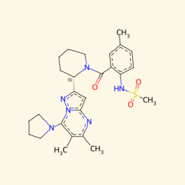 Cc1ccc(NS(C)(=O)=O)c(C(=O)N2CCCC[C@H]2c2cc3nc(C)c(C)c(N4CCCC4)n3n2)c1